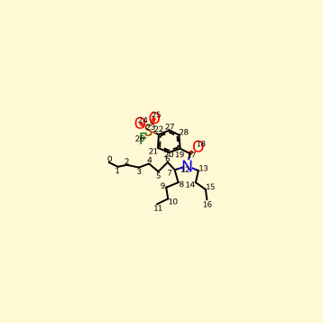 CCCCCCCC(CCCC)N(CCCC)C(=O)c1ccc(S(=O)(=O)F)cc1